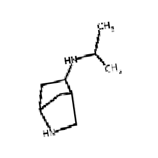 CC(C)NC1CC2CC1CN2